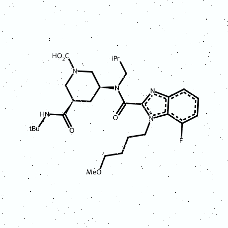 COCCCCn1c(C(=O)N(CC(C)C)[C@H]2C[C@@H](C(=O)NC(C)(C)C)CN(C(=O)O)C2)nc2cccc(F)c21